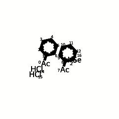 CC(=O)c1ccccc1.CC(=O)c1ccccc1.Cl.Cl.[SeH2]